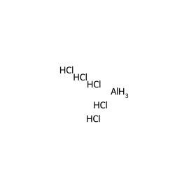 Cl.Cl.Cl.Cl.Cl.[AlH3]